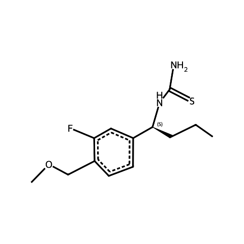 CCC[C@H](NC(N)=S)c1ccc(COC)c(F)c1